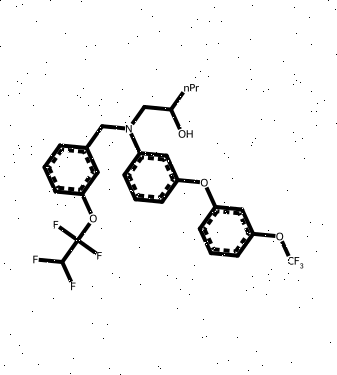 CCCC(O)CN(Cc1cccc(OC(F)(F)C(F)F)c1)c1cccc(Oc2cccc(OC(F)(F)F)c2)c1